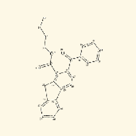 CCCCOC(=O)c1c(C(=O)c2ccccc2)ccc2c1Cc1ccccc1-2